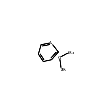 CC(C)(C)OC(C)(C)C.c1ccncc1